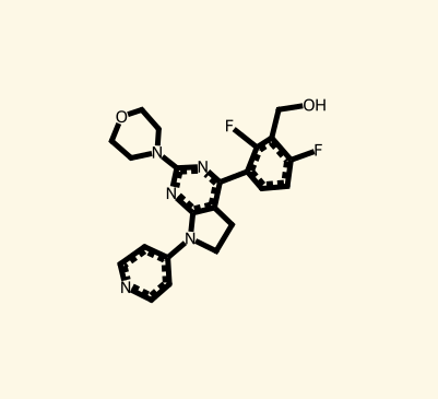 OCc1c(F)ccc(-c2nc(N3CCOCC3)nc3c2CCN3c2ccncc2)c1F